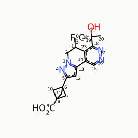 C[C@@H]1Cn2nc(C34CC(C(=O)O)(C3)C4)cc2-c2cnnc([C@](C)(O)C(F)(F)F)c21